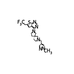 Cn1cc(CN2CC[C@@]3(CCN(c4ncnc5sc(CC(F)(F)F)cc45)C3)C2)cn1